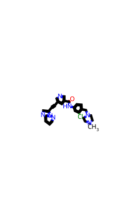 CN1CCN(Cc2ccc(NC(=O)c3cncc(C#Cc4cnc5cccnn45)c3)cc2Cl)CC1